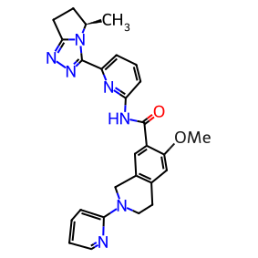 COc1cc2c(cc1C(=O)Nc1cccc(-c3nnc4n3[C@H](C)CC4)n1)CN(c1ccccn1)CC2